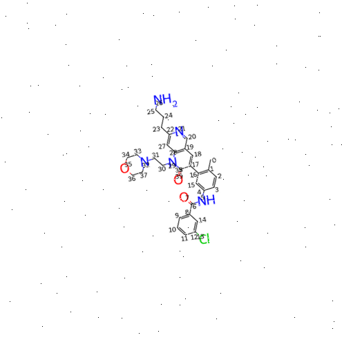 Cc1ccc(NC(=O)c2cccc(Cl)c2)cc1-c1cc2cnc(CCCN)cc2n(CCN2CCOCC2)c1=O